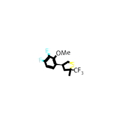 COc1c([C@H]2CS[C@@](C)(C(F)(F)F)C2)ccc(F)c1F